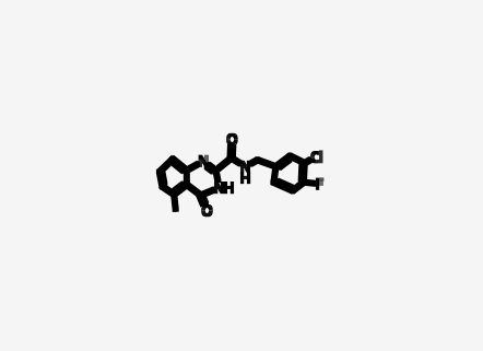 Cc1cccc2nc(C(=O)NCc3ccc(F)c(Cl)c3)[nH]c(=O)c12